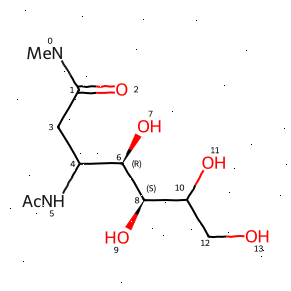 CNC(=O)CC(NC(C)=O)[C@@H](O)[C@H](O)C(O)CO